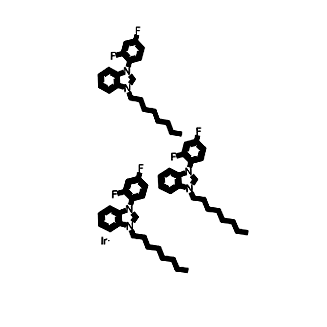 CCCCCCCCN1CN(c2ccc(F)cc2F)c2ccccc21.CCCCCCCCN1CN(c2ccc(F)cc2F)c2ccccc21.CCCCCCCCN1CN(c2ccc(F)cc2F)c2ccccc21.[Ir]